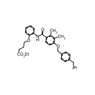 CCOC(=O)CCCOc1ccccc1NC(=O)c1ccc(OCc2ccc(CC(C)C)cc2)c(C)c1C